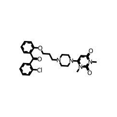 Cn1c(N2CCN(CCCOc3ccccc3C(=O)c3ccccc3Cl)CC2)cc(=O)n(C)c1=O